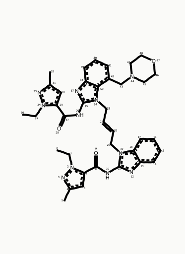 CCn1nc(C)cc1C(=O)Nc1nc2ccccc2n1CC=CCn1c(NC(=O)c2cc(C)nn2CC)nc2cccc(CN3CCOCC3)c21